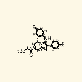 CC(C)(C)CC(=O)N1CCn2c(nc(-c3ccc(F)cc3)c2Nc2ccc(F)cc2)C1